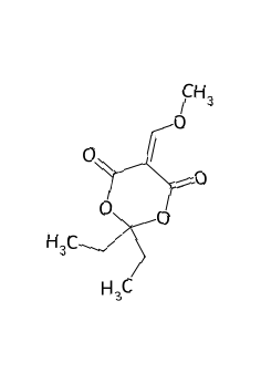 CCC1(CC)OC(=O)C(=COC)C(=O)O1